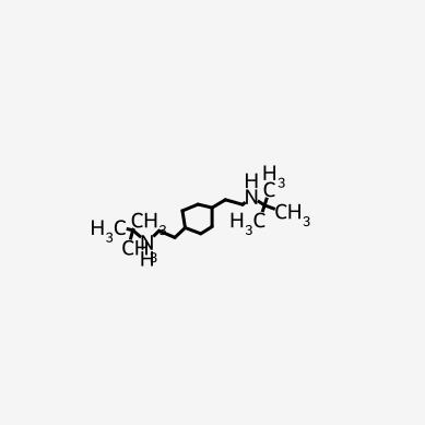 CC(C)(C)NCCC1CCC(CCNC(C)(C)C)CC1